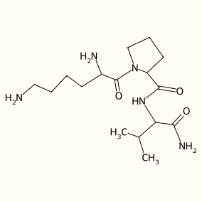 CC(C)C(NC(=O)C1CCCN1C(=O)C(N)CCCCN)C(N)=O